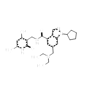 CCN(CC)Cc1cc(C(=O)NCc2c(C)cc(C)[nH]c2=O)c2cnn(C3CCCC3)c2c1